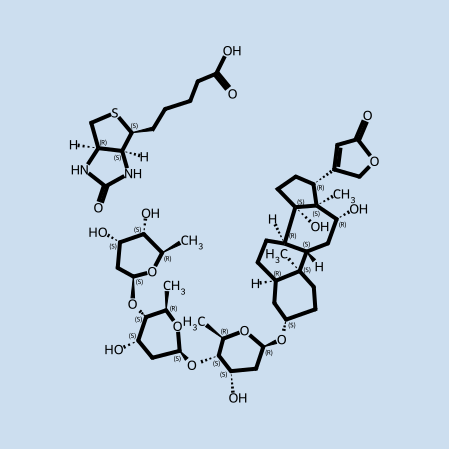 C[C@H]1O[C@@H](O[C@H]2[C@@H](O)C[C@H](O[C@H]3[C@@H](O)C[C@H](O[C@H]4CC[C@@]5(C)[C@H](CC[C@@H]6[C@@H]5C[C@@H](O)[C@]5(C)[C@@H](C7=CC(=O)OC7)CC[C@]65O)C4)O[C@@H]3C)O[C@@H]2C)C[C@H](O)[C@@H]1O.O=C(O)CCCC[C@@H]1SC[C@@H]2NC(=O)N[C@@H]21